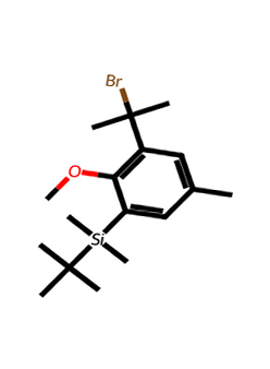 COc1c(C(C)(C)Br)cc(C)cc1[Si](C)(C)C(C)(C)C